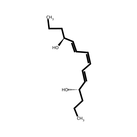 CCC[C@H](O)/C=C/C=C\C=C\[C@@H](O)CCC